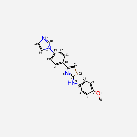 COc1ccc(Nc2nc(-c3ccc(-n4ccnc4)cc3)cs2)cc1